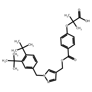 CC(C)(Oc1ccc(C(=O)OCc2cnn(Cc3ccc(C(C)(C)C)c(C(C)(C)C)c3)c2)cc1)C(=O)O